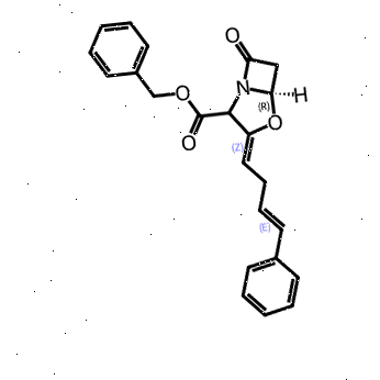 O=C(OCc1ccccc1)C1/C(=C/C/C=C/c2ccccc2)O[C@@H]2CC(=O)N12